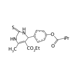 CCOC(=O)C1=C(C)NC(=S)NC1c1ccc(OC(=O)C(C)C)cc1